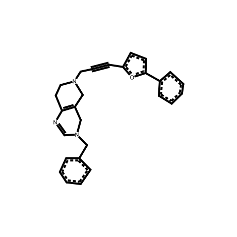 C(#Cc1ccc(-c2ccccc2)o1)CN1CCC2=C(CN(Cc3ccccc3)C=N2)C1